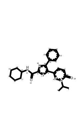 CC(C)n1nc(-c2sc(C(=O)NC3CCCCC3)nc2-c2ccccc2)ccc1=O